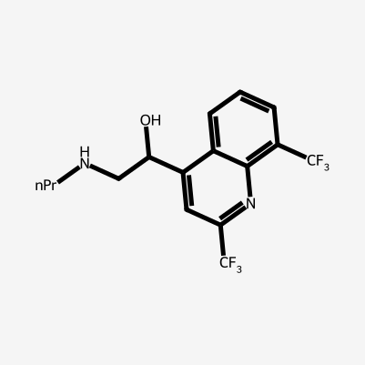 CCCNCC(O)c1cc(C(F)(F)F)nc2c(C(F)(F)F)cccc12